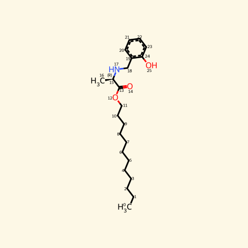 CCCCCCCCCCCCOC(=O)[C@@H](C)NCc1ccccc1O